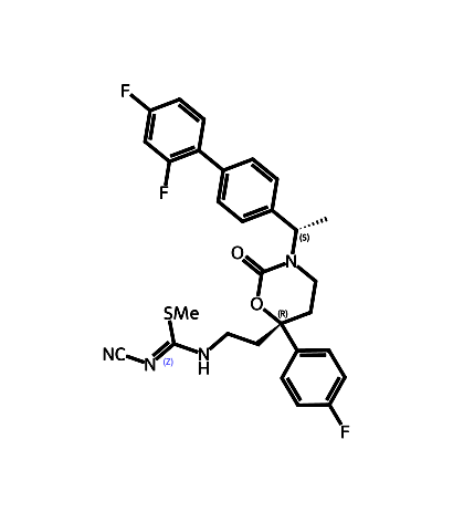 CS/C(=N\C#N)NCC[C@]1(c2ccc(F)cc2)CCN([C@@H](C)c2ccc(-c3ccc(F)cc3F)cc2)C(=O)O1